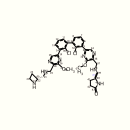 COc1nc(-c2cccc(-c3cccc(-c4cnc(CNC[C@H]5CCN5)c(OC)n4)c3Cl)c2Cl)cnc1CN/C=C1\CCC(=O)N1